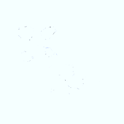 Cc1c(C(C)(C)C)ccc2c(O[SiH](C)C)c(C(=O)c3cn(C(c4ccccc4)(c4ccccc4)c4ccccc4)cn3)ccc12